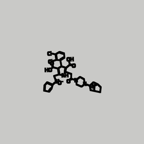 CN1C2CCC1CC(N1CCN(C(=O)CC3=C(C(=O)O)C(c4cccc(Cl)c4Cl)C(C(=O)O)=C(C[S+]([O-])c4ccccc4)N3)CC1)C2